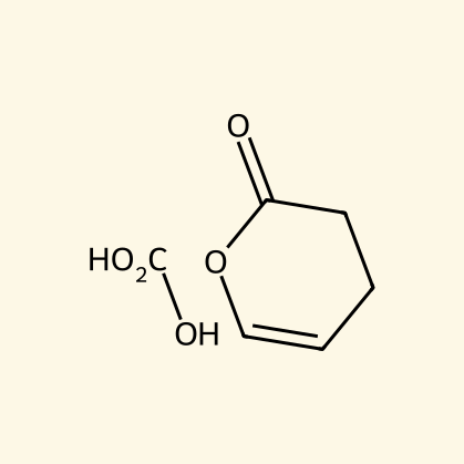 O=C(O)O.O=C1CCC=CO1